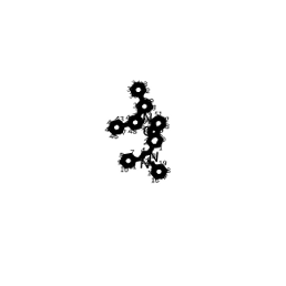 C1=CC(c2cc(-c3ccccc3)nc(-c3ccccc3)n2)Cc2oc3c(-n4c5ccc(-c6ccccc6)cc5c5cc(-c6ccccc6)ccc54)cccc3c21